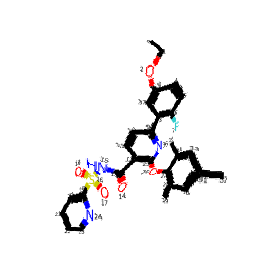 CCOc1ccc(F)c(-c2ccc(C(=O)NS(=O)(=O)c3ccccn3)c(Oc3c(C)cc(C)cc3C)n2)c1